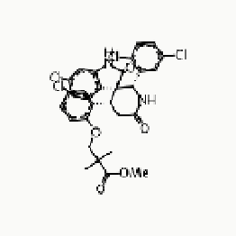 COC(=O)C(C)(C)COc1ccc(Cl)cc1[C@H]1CC(=O)N[C@@H](c2cc(Cl)ccc2Cl)[C@]12C(=O)Nc1cc(Cl)ccc12